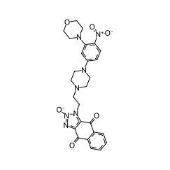 O=C1c2ccccc2C(=O)c2c1n[n+]([O-])n2CCN1CCN(c2ccc([N+](=O)[O-])c(N3CCOCC3)c2)CC1